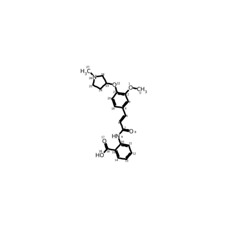 COc1cc(C=CC(=O)Nc2ccccc2C(=O)O)ccc1OC1CCN(C)C1